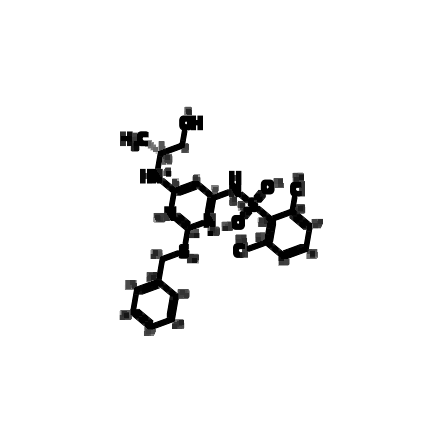 C[C@H](CO)Nc1cc(NS(=O)(=O)c2c(Cl)cccc2Cl)nc(SCc2ccccc2)n1